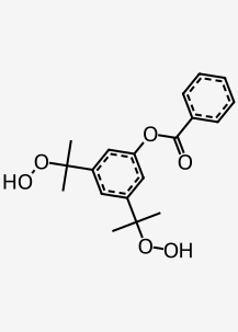 CC(C)(OO)c1cc(OC(=O)c2ccccc2)cc(C(C)(C)OO)c1